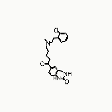 CN(CCCCC(=O)c1ccc2c(c1)CNC(=O)N2)CCc1ccccc1Cl